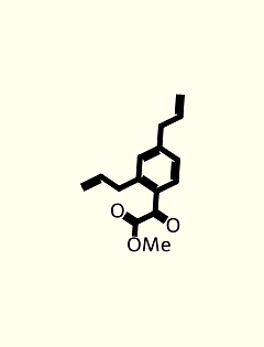 C=CCc1ccc(C(=O)C(=O)OC)c(CC=C)c1